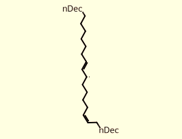 CCCCCCCCCCC/C=C\CCCC[CH]C=CCCCCCCCCCCCCCCCC